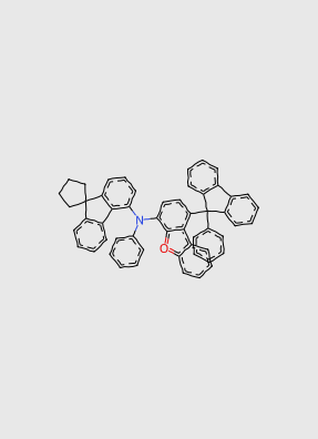 c1ccc(N(c2cccc3c2-c2ccccc2C32CCCC2)c2ccc(C3(c4ccccc4)c4ccccc4-c4ccccc43)c3c2oc2ccccc23)cc1